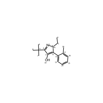 CCn1nc(C(C)(C)C)c(O)c1-c1ccccc1C